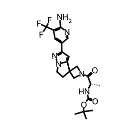 C[C@H](NC(=O)OC(C)(C)C)C(=O)N1CC2(CCn3nc(-c4cnc(N)c(C(F)(F)F)c4)cc32)C1